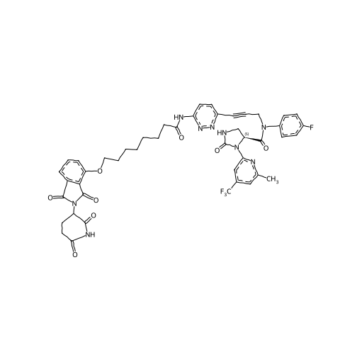 Cc1cc(C(F)(F)F)cc(N2C(=O)NC[C@H]2C(=O)N(CC#Cc2ccc(NC(=O)CCCCCCCOc3cccc4c3C(=O)N(C3CCC(=O)NC3=O)C4=O)nn2)c2ccc(F)cc2)n1